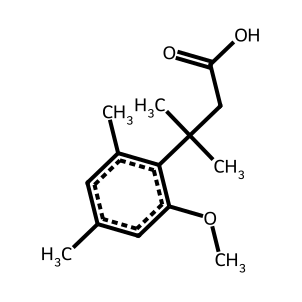 COc1cc(C)cc(C)c1C(C)(C)CC(=O)O